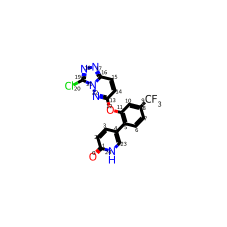 O=c1ccc(-c2ccc(C(F)(F)F)cc2Oc2ccc3nnc(Cl)n3n2)c[nH]1